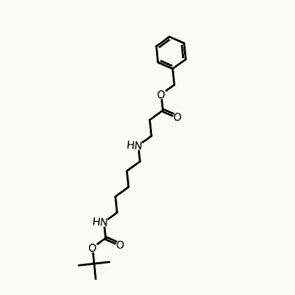 CC(C)(C)OC(=O)NCCCCCNCCC(=O)OCc1ccccc1